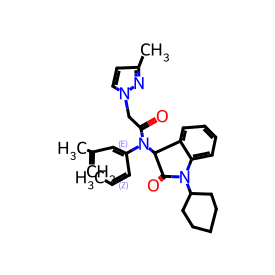 C=C(C)/C=C(\C=C/C)N(C(=O)Cn1ccc(C)n1)C1C(=O)N(C2CCCCC2)c2ccccc21